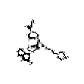 C=CC(=O)N1CCN(c2nc(OCCCN3CC[S+]([O-])CC3)nc3c2CCN(c2cc(O)cc4ccccc24)C3)CC1